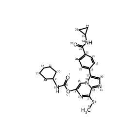 CSc1nc(OC(=O)NC2CCCCC2)cn2c(-c3ccc(C(=O)NC4CC4)cc3)cnc12